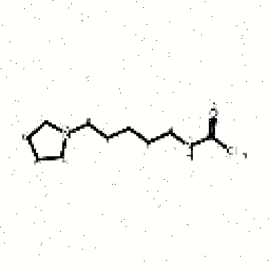 CC(=O)NCCCCCN1CCCC1